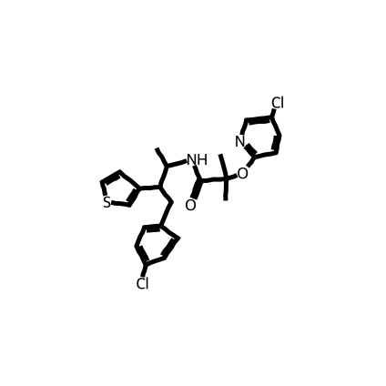 CC(NC(=O)C(C)(C)Oc1ccc(Cl)cn1)C(Cc1ccc(Cl)cc1)c1ccsc1